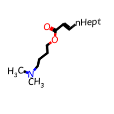 CCCCCCCC=CC(=O)OCCCCN(C)C